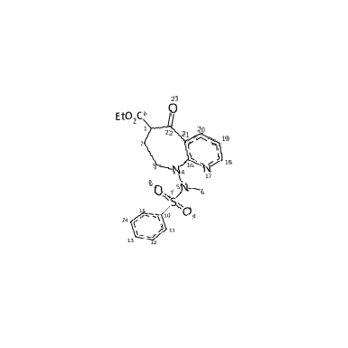 CCOC(=O)C1CCN(N(C)S(=O)(=O)c2ccccc2)c2ncccc2C1=O